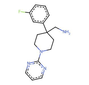 NCC1(c2cccc(F)c2)CCN(c2ncccn2)CC1